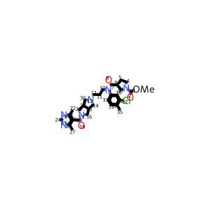 COC(=O)N1CCC(C(=O)N(CCCN2CC3CN(C(=O)c4c(C)ncnc4C)CC3C2)c2ccc(C)c(Cl)c2)C1